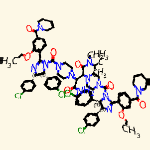 CCOc1cc(C(=O)N2CCCCC2)ccc1C1=N[C@@H](c2ccc(Cl)cc2)[C@@H](c2ccc(Cl)cc2)N1C(=O)N1CCN(C(C(N)=O)C(C(=O)N(C)C(C)C)N2CCN(C(=O)N3C(c4ccc(C(=O)N5CCCCC5)cc4OCC)=N[C@@H](c4ccc(Cl)cc4)[C@H]3c3ccc(Cl)cc3)CC2)CC1